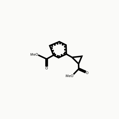 COC(=O)c1cccc(C2CC2C(=O)OC)c1